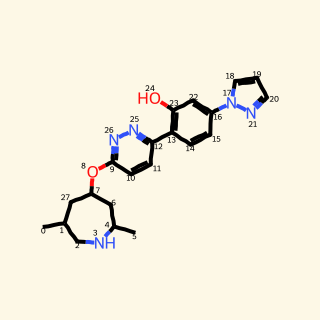 CC1CNC(C)CC(Oc2ccc(-c3ccc(-n4cccn4)cc3O)nn2)C1